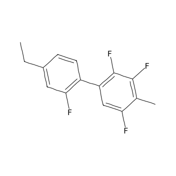 CCc1ccc(-c2cc(F)c(C)c(F)c2F)c(F)c1